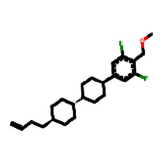 C=CCC[C@H]1CC[C@H](C2CCC(c3cc(F)c(COC)c(F)c3)CC2)CC1